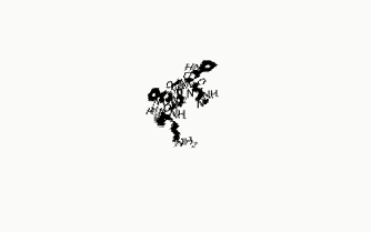 CC=C(N)[C@H](CCCCN)NC(=O)N1CCCN1C(=O)[C@H](Cc1c[nH]c2ccccc12)NC(=O)[C@H](C)NC(=O)[C@@H](Cc1c[nH]c2ccccc12)NC(=O)[C@@H](N)Cc1cnc[nH]1